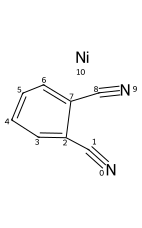 N#Cc1ccccc1C#N.[Ni]